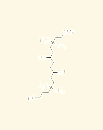 COCCC(C)(C)CCC(O)CCC(O)CCC(C)(C)CCCO